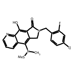 CSN(C)c1c2c(c(O)c3ncccc13)C(=O)N(Cc1ccc(Cl)cc1F)C2